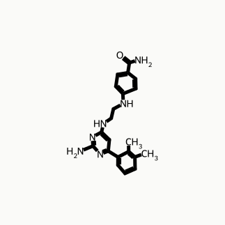 Cc1cccc(-c2cc(NCCNc3ccc(C(N)=O)cc3)nc(N)n2)c1C